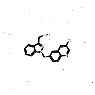 COCc1nn(Cc2ccc3ncc(Cl)cc3c2)c2ccccc12